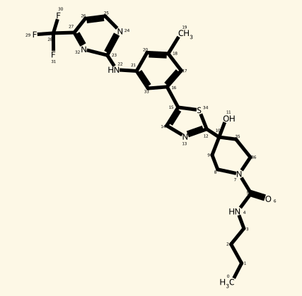 CCCCNC(=O)N1CCC(O)(c2ncc(-c3cc(C)cc(Nc4nccc(C(F)(F)F)n4)c3)s2)CC1